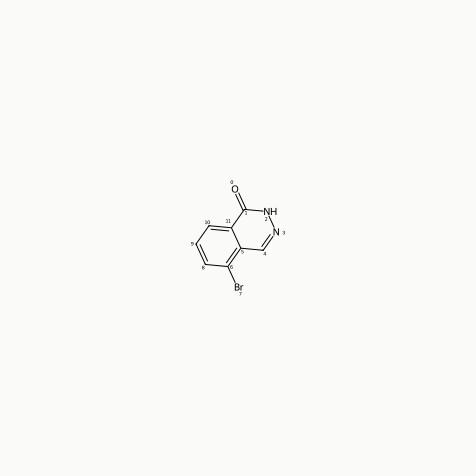 O=c1[nH]ncc2c(Br)cccc12